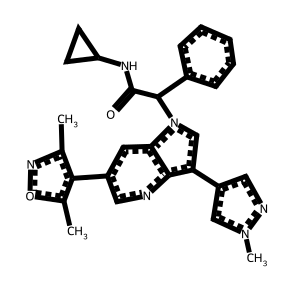 Cc1noc(C)c1-c1cnc2c(-c3cnn(C)c3)cn(C(C(=O)NC3CC3)c3ccccc3)c2c1